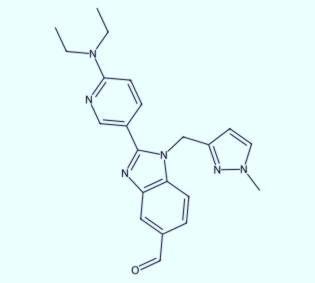 CCN(CC)c1ccc(-c2nc3cc(C=O)ccc3n2Cc2ccn(C)n2)cn1